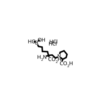 Cl.Cl.NC(CCCCB(O)O)(CCN1CCCCC1C(=O)O)C(=O)O